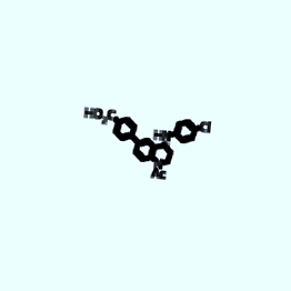 CC(=O)N1CC[C@@H](Nc2ccc(Cl)cc2)c2cc(-c3ccc(C(=O)O)cc3)ccc21